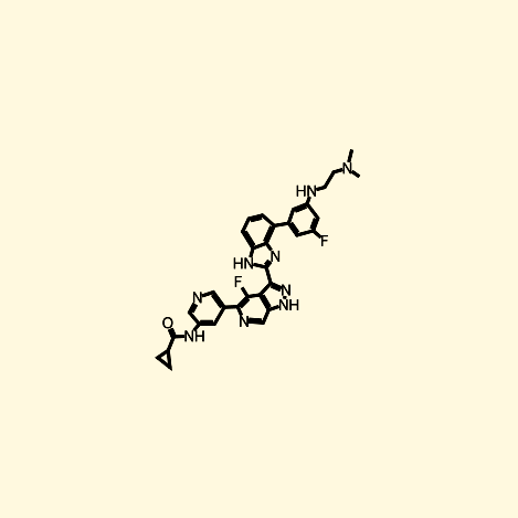 CN(C)CCNc1cc(F)cc(-c2cccc3[nH]c(-c4n[nH]c5cnc(-c6cncc(NC(=O)C7CC7)c6)c(F)c45)nc23)c1